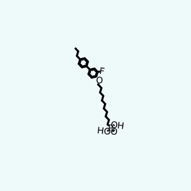 CCCc1ccc(-c2ccc(OCCCCCCCCCCCP(=O)(O)O)c(F)c2)cc1